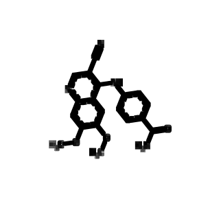 COc1cc2ncc(C#N)c(Nc3ccc(C(N)=O)cc3)c2cc1OC